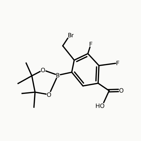 CC1(C)OB(c2cc(C(=O)O)c(F)c(F)c2CBr)OC1(C)C